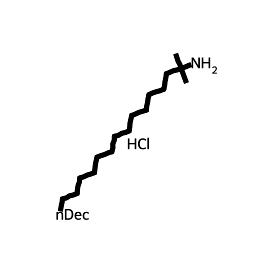 CCCCCCCCCCCCCCCCCCCCCCCC(C)(C)N.Cl